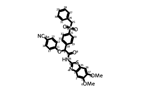 COc1cc2nc(NC(=O)C(Oc3ccc(C#N)cc3)c3ccc(S(=O)(=O)Cc4ccccc4)cc3)sc2cc1OC